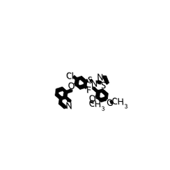 COc1ccc(CN(Sc2cc(Cl)c(OCc3cccc4ccncc34)cc2F)c2nccs2)c(OC)c1